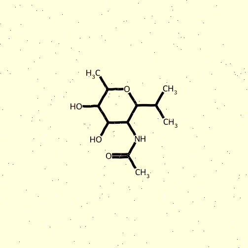 CC(=O)NC1C(O)C(O)C(C)OC1C(C)C